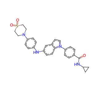 O=C(NC1CC1)c1ccc(-n2ccc3cc(Nc4ccc(N5CCS(=O)(=O)CC5)cc4)ccc32)cc1